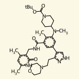 Cc1cc(C)c(CNC(=O)c2cc(-c3c[nH]nc3CCN3CCOCC3)cc(N(C)C3CCN(C(=O)OC(C)(C)C)CC3)c2C)c(=O)[nH]1